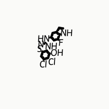 Oc1c(Cl)c(Cl)cc2c1NC(Nc1cc(F)c3[nH]ccc3c1)=NS2